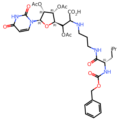 CC(=O)OC(C(NCCCNC(=O)[C@H](CC(C)C)NC(=O)OCc1ccccc1)C(=O)O)[C@H]1O[C@@H](n2ccc(=O)[nH]c2=O)[C@H](OC(C)=O)[C@@H]1OC(C)=O